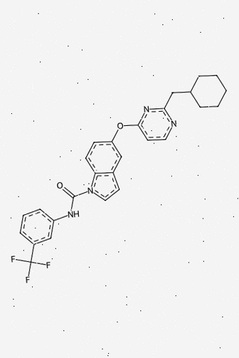 O=C(Nc1cccc(C(F)(F)F)c1)n1ccc2cc(Oc3ccnc(CC4CCCCC4)n3)ccc21